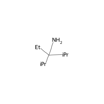 [CH2]CC(N)(C(C)C)C(C)C